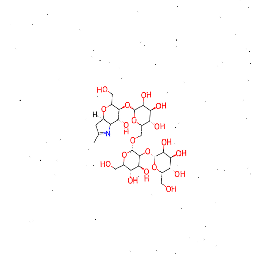 CC1=NC2[C@@H](O)[C@H](O[C@@H]3OC(CO[C@H]4OC(CO)[C@@H](O)[C@H](O)C4O[C@H]4OC(CO)[C@@H](O)[C@H](O)C4O)[C@@H](O)[C@H](O)C3O)C(CO)O[C@@H]2C1